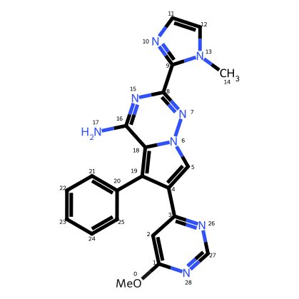 COc1cc(-c2cn3nc(-c4nccn4C)nc(N)c3c2-c2ccccc2)ncn1